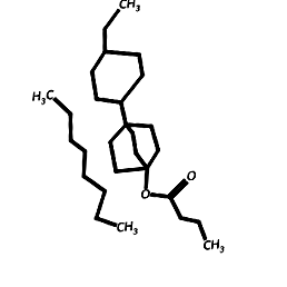 CCCC(=O)OC12CCC(C3CCC(CC)CC3)(CC1)CC2.CCCCCCCC